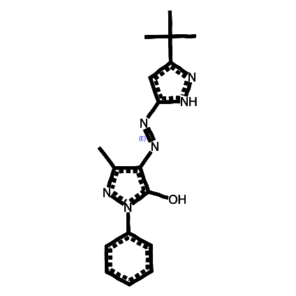 Cc1nn(-c2ccccc2)c(O)c1/N=N/c1cc(C(C)(C)C)n[nH]1